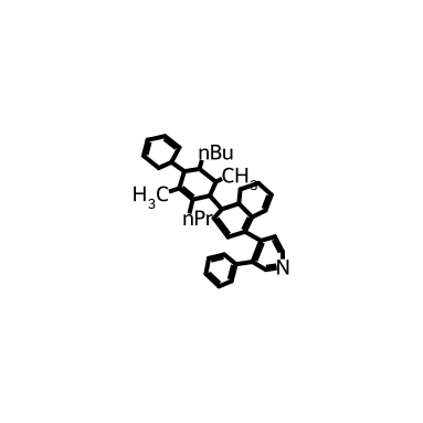 CCCCC1C(C)C(C2C=CC(c3ccncc3-c3ccccc3)=C3C=CCCC32)C(CCC)=C(C)C1C1C=CC=CC1